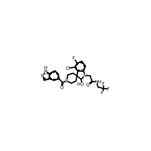 O=C(CN1c2ccc(F)c(Cl)c2C2(CCN(C(=O)c3ccc4[nH]ncc4c3)CC2)C1O)NCC(F)(F)F